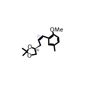 COc1ccc(C)cc1/C=C\C[C@H]1COC(C)(C)O1